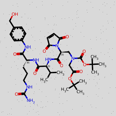 CC(C)[C@H](NC(=O)[C@H](CN(CC(=O)OC(C)(C)C)C(=O)OC(C)(C)C)N1C(=O)C=CC1=O)C(=O)N[C@H](CCCNC(N)=O)C(=O)Nc1ccc(CO)cc1